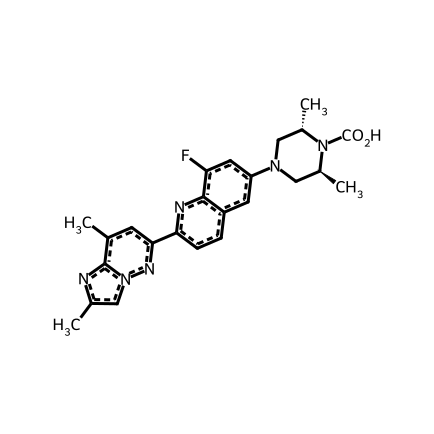 Cc1cn2nc(-c3ccc4cc(N5C[C@H](C)N(C(=O)O)[C@@H](C)C5)cc(F)c4n3)cc(C)c2n1